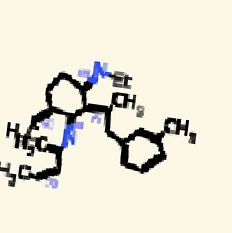 C=C(/C=C\C)/N=C1C(=C/C)\CCC(=N\CC)\C\1=C(/C)Cc1cccc(C)c1